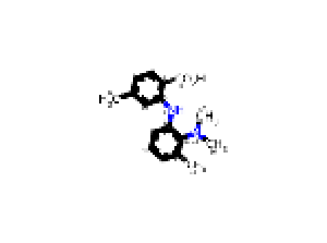 Cc1ccc(C(=O)O)c(Nc2cccc(C(F)(F)F)c2N(C)C)c1